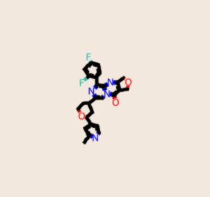 Cc1cc(C2CC(c3cn4c(=O)c5c(nc4c(-c4ccc(F)cc4F)n3)COC5)CCO2)ccn1